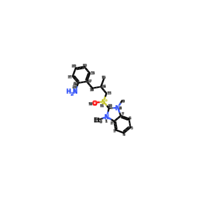 CCN1c2ccccc2N(C)C1[S+]([O-])CC(C)Cc1ccccc1N